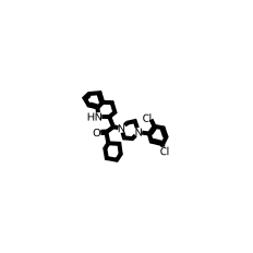 O=C(C1CCCCC1)C(C1CCc2ccccc2N1)N1CCN(c2cc(Cl)ccc2Cl)CC1